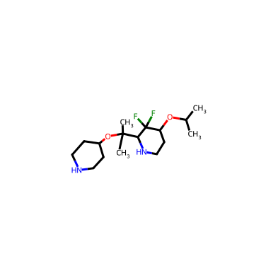 CC(C)OC1CCNC(C(C)(C)OC2CCNCC2)C1(F)F